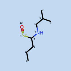 CCCC(NCC(C)C)[S+]=O